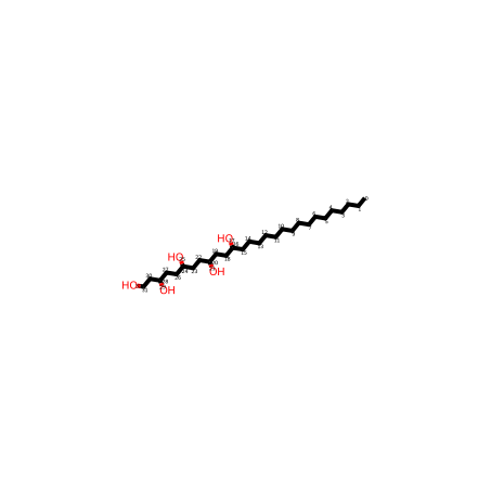 CCCCCCCCCCCCCCCCC(O)CCC(O)CCC(O)CCC(O)CCO